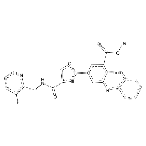 CC(C)(C)OC(=O)c1cc(-c2nc(C(=O)NCc3ncccc3F)co2)cc2nc3ccccc3cc12